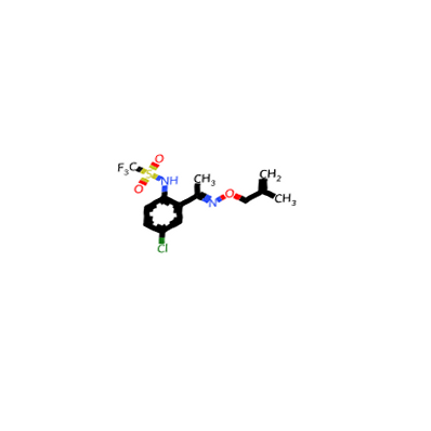 C=C(C)CO/N=C(\C)c1cc(Cl)ccc1NS(=O)(=O)C(F)(F)F